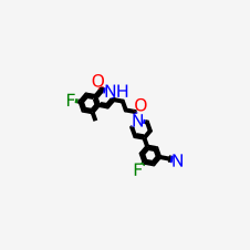 Cc1cc(F)cc2c(=O)[nH]c(CCC(=O)N3CC=C(c4cc(F)cc(C#N)c4)CC3)cc12